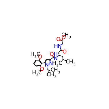 COC(=O)CNC(=O)C[C@H](CC(C)C)NC(=O)c1cc(-c2c(OC)cccc2OC)n(CC(C)C)n1